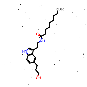 CCCCCCCCCCCCCCCCCC(=O)NCCc1c[nH]c2ccc(CCCO)cc12